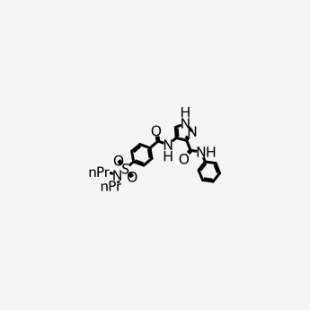 CCCN(CCC)S(=O)(=O)c1ccc(C(=O)Nc2c[nH]nc2C(=O)Nc2ccccc2)cc1